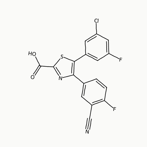 N#Cc1cc(-c2nc(C(=O)O)sc2-c2cc(F)cc(Cl)c2)ccc1F